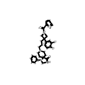 O=C(c1ccco1)N1CC(CCCN2CCC3(CC2)C(=O)NCN3c2ccccc2)(c2ccc(Cl)c(Cl)c2)C1